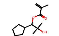 C=C(C)C(=O)OC(C1CCCC1)C(C)(C)O